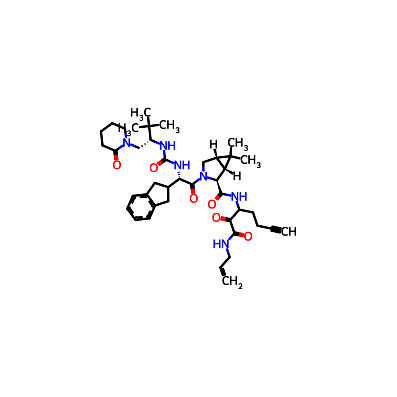 C#CCCC(NC(=O)[C@@H]1[C@@H]2[C@H](CN1C(=O)[C@@H](NC(=O)N[C@H](CN1CCCCC1=O)C(C)(C)C)C1Cc3ccccc3C1)C2(C)C)C(=O)C(=O)NCC=C